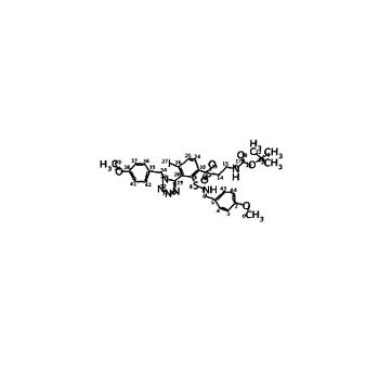 COc1ccc(CNSc2c(S(=O)(=O)CCNC(=O)OC(C)(C)C)ccc(I)c2-c2nnnn2Cc2ccc(OC)cc2)cc1